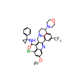 CC(C)Oc1cc(Br)c2c(C(=O)NC3(c4ccccc4)CC3)c(CN3CCC(N4CCOCC4)CC3)c(-c3cccc(C(F)(F)F)c3)nc2c1